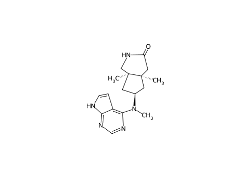 CN(c1ncnc2[nH]ccc12)[C@@H]1C[C@]2(C)CC(=O)NC[C@]2(C)C1